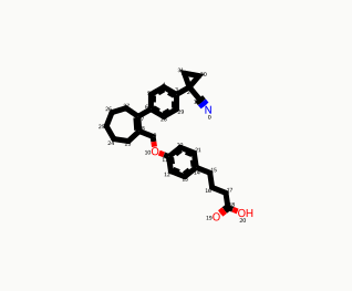 N#CC1(c2ccc(C3=C(COc4ccc(CCCC(=O)O)cc4)CCCCC3)cc2)CC1